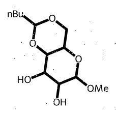 CCCCC1OCC2OC(OC)C(O)C(O)C2O1